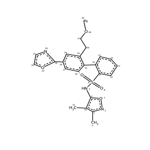 Cc1noc(NS(=O)(=O)c2ccccc2-c2ccc(-c3ncco3)cc2CCOC(C)C)c1C